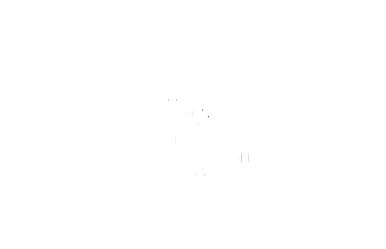 C=CCOC(N)C=C.O=S(=O)(O)O